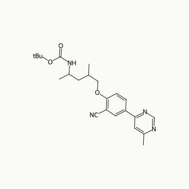 Cc1cc(-c2ccc(OCC(C)CC(C)NC(=O)OC(C)(C)C)c(C#N)c2)ncn1